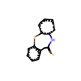 S=C1Nc2ccccc2Sc2ccccc21